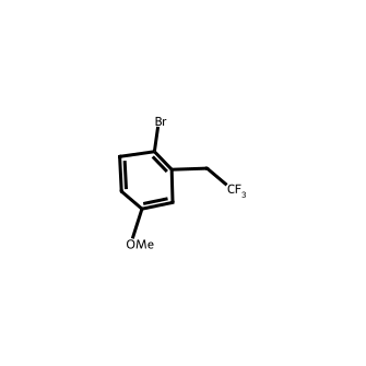 COc1ccc(Br)c(CC(F)(F)F)c1